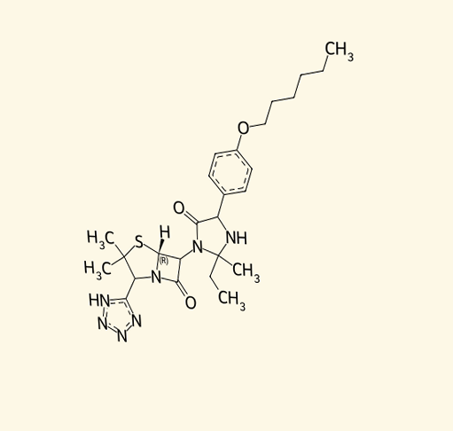 CCCCCCOc1ccc(C2NC(C)(CC)N(C3C(=O)N4C(c5nnn[nH]5)C(C)(C)S[C@H]34)C2=O)cc1